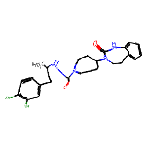 O=C(O)C(Cc1ccc(Br)c(Br)c1)NC(=O)N1CCC(N2CCc3ccccc3NC2=O)CC1